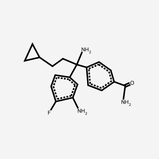 NC(=O)c1ccc(C(N)(CCC2CC2)c2ccc(F)c(N)c2)cc1